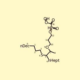 CCCCCCCCCCCCCSC(CCCCCCC)C(C)OCCCO[PH](=O)C(=O)OO